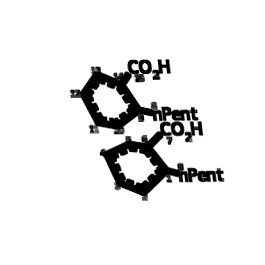 CCCCCc1ccccc1C(=O)O.CCCCCc1ccccc1C(=O)O